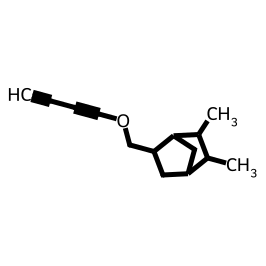 C#CC#COCC1CC2CC1C(C)C2C